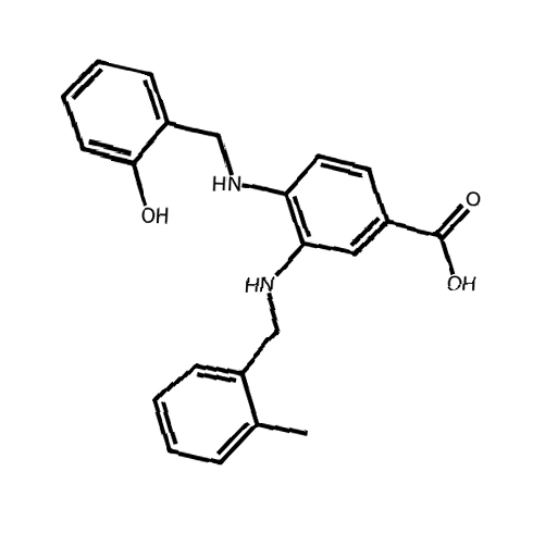 Cc1ccccc1CNc1cc(C(=O)O)ccc1NCc1ccccc1O